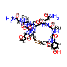 CC[C@H](C)[C@@H]1NC(=O)[C@H](Cc2ccc(O)cc2)NC(=O)CCSSC[C@@H](C(=O)N(CC(=O)N[C@@H](CC(C)C)C(=O)NCC(N)=O)CC2CCCO2)NN[C@@H](CC(N)=O)C(=O)C(=O)[C@H](CCC(N)=O)NC1=O